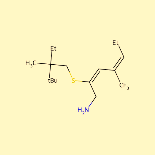 CC/C=C(\C=C(/CN)SCC(C)(CC)C(C)(C)C)C(F)(F)F